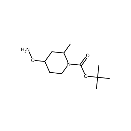 CC(C)(C)OC(=O)N1CCC(ON)CC1I